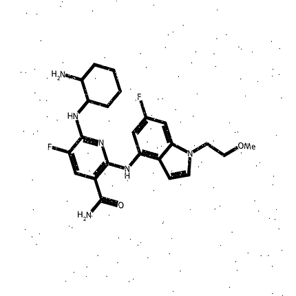 COCCn1ccc2c(Nc3nc(NC4CCCCC4N)c(F)cc3C(N)=O)cc(F)cc21